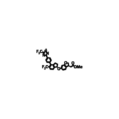 COC(=O)C[C@@H]1COc2cc(O[C@@H]3CCc4c3ccc(C(F)(F)F)c4-c3ccc(-c4nc(C(F)(F)F)n(C)n4)cc3)ccc21